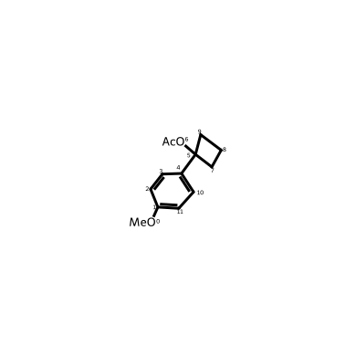 COc1ccc(C2(OC(C)=O)CCC2)cc1